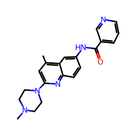 Cc1cc(N2CCN(C)CC2)nc2ccc(NC(=O)c3cccnc3)cc12